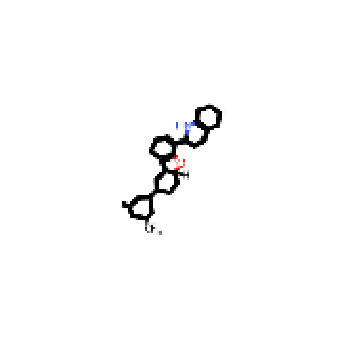 CC1CC(C2CC[C@H]3OC4=C(CCC=C4C4CCC5=C(CCCC5)N4)C3C2)CC(C(F)(F)F)C1